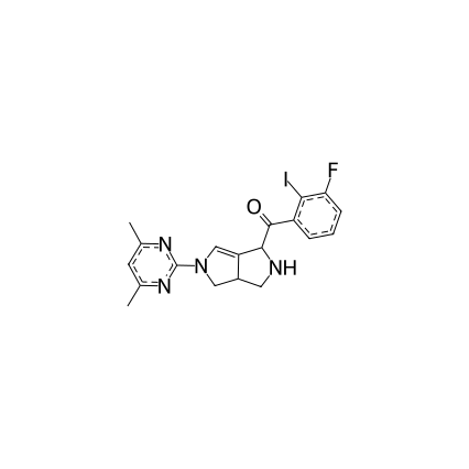 Cc1cc(C)nc(N2C=C3C(CNC3C(=O)c3cccc(F)c3I)C2)n1